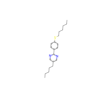 CCCCCCSc1ccc(-c2ncc(CCCCC)cn2)cc1